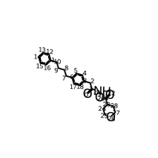 O=C(Cc1ccc(CCCCc2ccccc2)cc1)NOC(=O)C1CCOCC1